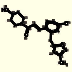 Cc1nnn(Cc2cc(Cl)ccc2C=CC(=O)N2CCC(O)CC2)n1